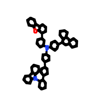 c1cc(-c2cccc3c2oc2ccccc23)cc(N(c2ccc(-c3ccc(-c4ccccc4-n4c5ccccc5c5ccccc54)cc3)cc2)c2ccc(-c3cc4ccccc4c4ccccc34)cc2)c1